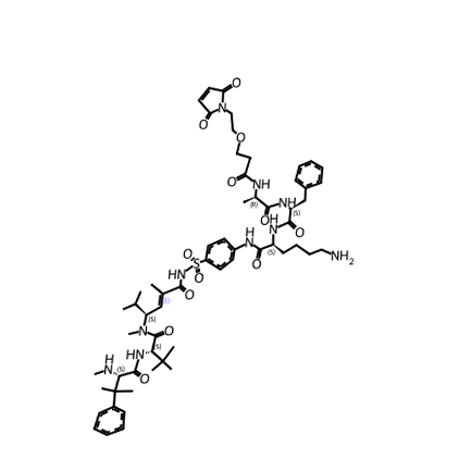 CN[C@H](C(=O)N[C@H](C(=O)N(C)[C@H](/C=C(\C)C(=O)NS(=O)(=O)c1ccc(NC(=O)[C@H](CCCCN)NC(=O)[C@H](Cc2ccccc2)NC(=O)[C@@H](C)NC(=O)CCOCCN2C(=O)C=CC2=O)cc1)C(C)C)C(C)(C)C)C(C)(C)c1ccccc1